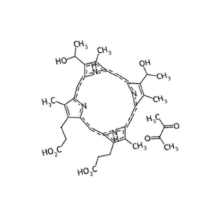 CC(=O)C(C)=O.CC1=C(CCC(=O)O)c2cc3[nH]c(cc4nc(cc5[nH]c(cc1n2)c(C(C)O)c5C)C(C(C)O)=C4C)c(C)c3CCC(=O)O